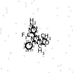 C[C@@H]1COC[C@@H](C)N1c1nc(-c2cnc(N)nc2C(F)(F)F)nc(N2CCCCCC2)n1